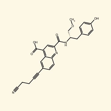 COC[C@H](Cc1ccc(O)cc1)NC(=O)c1cc(C(=O)O)c2cc(C#CCCC#N)ccc2n1